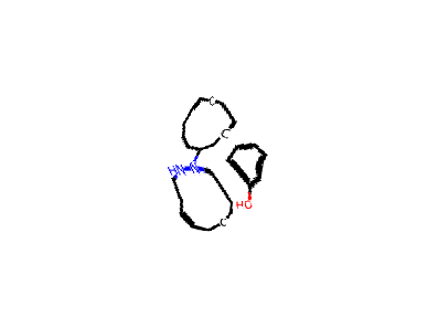 C1=CCCCC(N2CCCCCC=CCCN2)CCCCC1.Oc1ccccc1